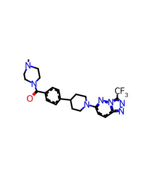 CN1CCN(C(=O)c2ccc(C3CCN(c4ccc5nnc(C(F)(F)F)n5n4)CC3)cc2)CC1